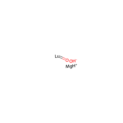 [MgH+].[OH-].[O]=[Lu]